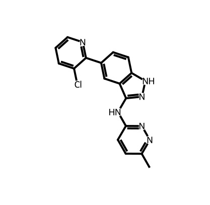 Cc1ccc(Nc2n[nH]c3ccc(-c4ncccc4Cl)cc23)nn1